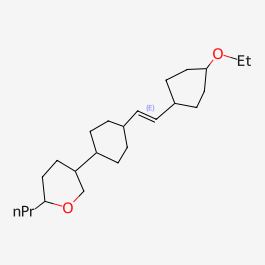 CCCC1CCC(C2CCC(/C=C/C3CCC(OCC)CC3)CC2)CO1